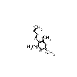 C=CC=Cc1c(C)cc(C)cc1C